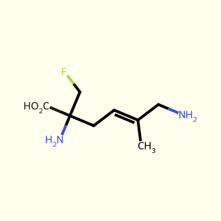 C/C(=C\CC(N)(CF)C(=O)O)CN